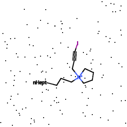 CCCCCCCCCC[N+]1(CC#CI)CCCC1